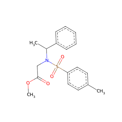 COC(=O)CN(C(C)c1ccccc1)S(=O)(=O)c1ccc(C)cc1